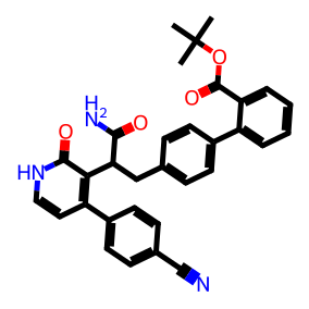 CC(C)(C)OC(=O)c1ccccc1-c1ccc(CC(C(N)=O)c2c(-c3ccc(C#N)cc3)cc[nH]c2=O)cc1